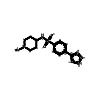 CC(C)(C)N1CCC(NS(=O)(=O)c2ccc(-c3nn[nH]n3)cc2)CC1